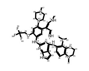 CN/C=C(\C=N)c1cc(Nc2nc(Nc3ccc4c(c3P(C)C)OCCN4C)c3cc[nH]c3n2)c(OCC(F)(F)F)cc1N1CCN(C)CC1